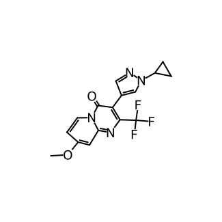 COc1ccn2c(=O)c(-c3cnn(C4CC4)c3)c(C(F)(F)F)nc2c1